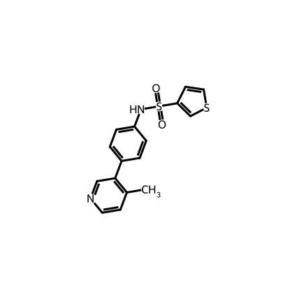 Cc1ccncc1-c1ccc(NS(=O)(=O)c2ccsc2)cc1